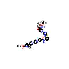 COC(=O)c1ccc(C2=CCN(C3CCN(c4ccc(C(=O)Nc5cccc(Sc6cnc(N7CCC8(CC7)CO[C@@H](C)[C@H]8NC(=O)OC(C)(C)C)cn6)c5)cc4F)CC3)CC2)c(C)n1